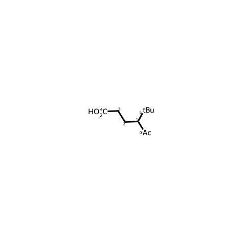 CC(=O)C(CCC(=O)O)C(C)(C)C